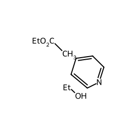 CCO.CCOC(C)=O.c1ccncc1